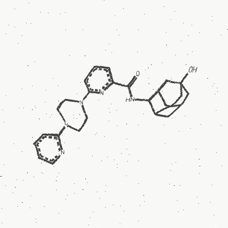 O=C(NC1C2CC3CC1CC(O)(C3)C2)c1cccc(N2CCN(c3ccccn3)CC2)n1